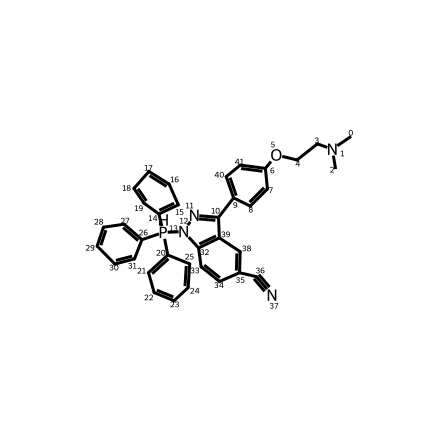 CN(C)CCOc1ccc(-c2nn([PH](c3ccccc3)(c3ccccc3)c3ccccc3)c3ccc(C#N)cc23)cc1